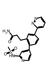 CS(=O)(=O)Nc1cc(-c2ccc(-c3cccnn3)cc2CCC(N)=O)ccn1